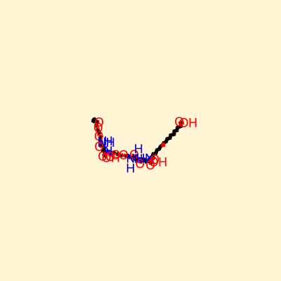 CC(C)(C)C(=O)COCCOCCNC(=O)CCC(NC(=O)COCCOCCNC(=O)CNC(=O)CCC(NC(=O)CCCCCCCCCCCCCCCCC(=O)O)C(=O)O)C(=O)O